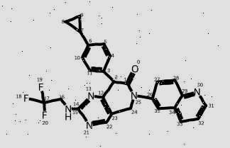 O=C1C(c2ccc(C3CC3)cc2)c2nc(NCC(F)(F)F)ncc2CN1c1ccc2ncccc2c1